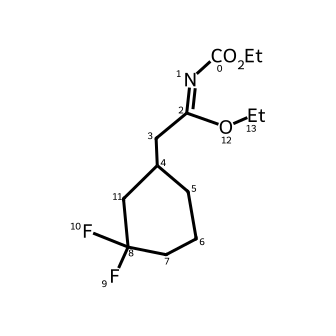 CCOC(=O)N=C(CC1CCCC(F)(F)C1)OCC